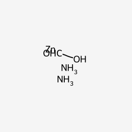 N.N.O=CO.[Zn]